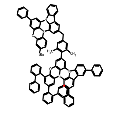 Cc1cc(Cc2cc3c4c(c2)c2ccccc2n4-c2cc(-c4ccccc4)cc4c2B3c2ccc(C(C)(C)C)cc2O4)cc(C)c1-c1cc2c3c(c1)-n1c4ccc(-c5ccccc5)cc4c4cc(-c5ccccc5)cc(c41)B3c1cc(-c3ccccc3-c3ccccc3)cc(-c3ccccc3-c3ccccc3)c1O2